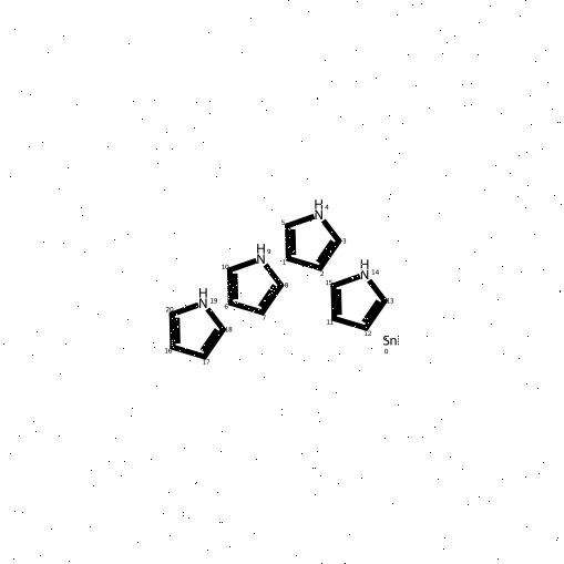 [Sn].c1cc[nH]c1.c1cc[nH]c1.c1cc[nH]c1.c1cc[nH]c1